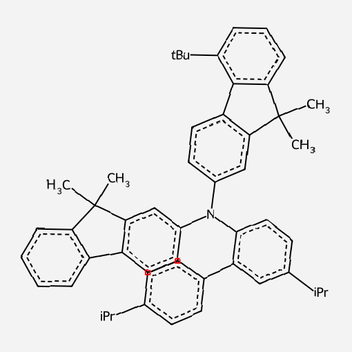 CC(C)c1ccc(-c2cc(C(C)C)ccc2N(c2ccc3c(c2)C(C)(C)c2ccccc2-3)c2ccc3c(c2)C(C)(C)c2cccc(C(C)(C)C)c2-3)cc1